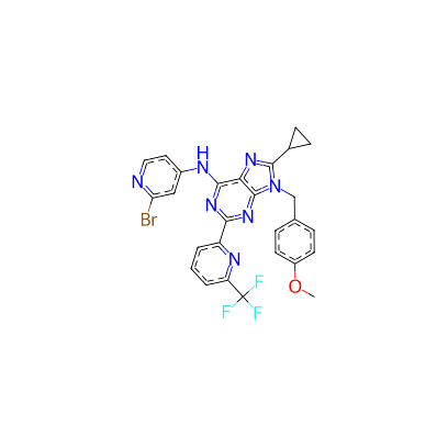 COc1ccc(Cn2c(C3CC3)nc3c(Nc4ccnc(Br)c4)nc(-c4cccc(C(F)(F)F)n4)nc32)cc1